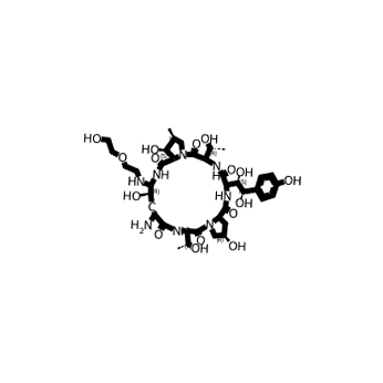 C[C@@H](O)C1NC(=O)C(N)C[C@@H](O)C(NCCOCCO)NC(=O)C2[C@@H](O)[C@@H](C)CN2C(=O)C([C@@H](C)O)NC(=O)C([C@H](O)[C@@H](O)c2ccc(O)cc2)NC(=O)C2C[C@@H](O)CN2C1=O